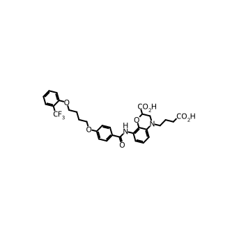 O=C(O)CCCN1CC(C(=O)O)Oc2c(NC(=O)c3ccc(OCCCCOc4ccccc4C(F)(F)F)cc3)cccc21